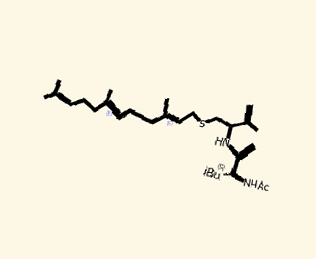 C=C(C)C(CSC/C=C(\C)CC/C=C(\C)CCC=C(C)C)NC(=C)C(NC(C)=O)[C@@H](C)CC